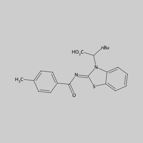 CCCCC(C(=O)O)n1c(=NC(=O)c2ccc(C)cc2)sc2ccccc21